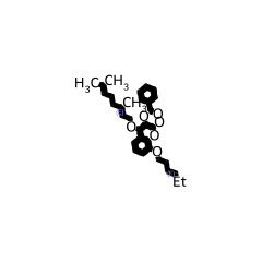 CC/C=C/CCOc1cccc2c(OC/C=C(\C)CCC=C(C)C)c(OC(=O)c3ccccc3)c(=O)oc12